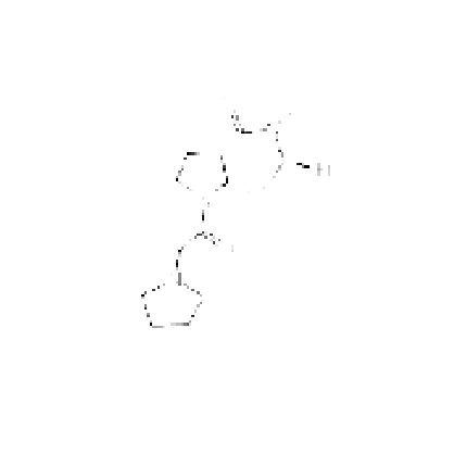 CC(C)[C@@H](C(=O)O)N(C)C(=O)[C@H]1CCN(C(=O)CN2CC[C@H](O)C2)C1